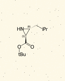 CC(C)C[C@H]1N[C@@H]1C(=O)OC(C)(C)C